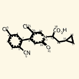 N#Cc1ccc(Cl)cc1-c1cc(=O)n(C(CC2CC2)C(=O)O)cc1Cl